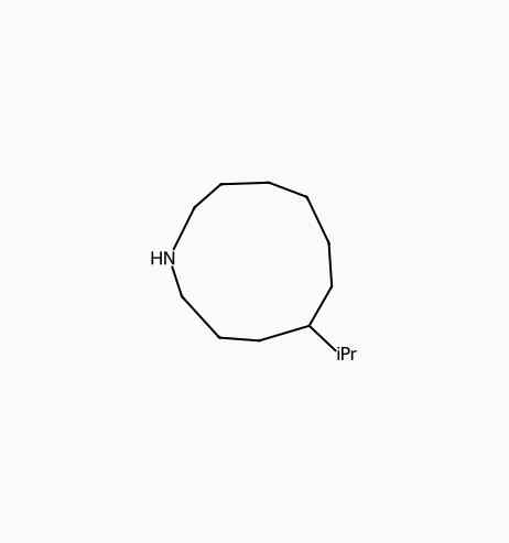 CC(C)C1CCCCCCNCCC1